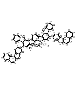 C[Si]1(C)c2cc(-c3ccc4c(c3)oc3ccc5ccccc5c34)c3c(oc4ccccc43)c2-c2ccc3c(c21)[Si](C)(C)c1cc(-c2ccc4c(c2)oc2ccc5ccccc5c24)c2c(oc4ccccc42)c1-3